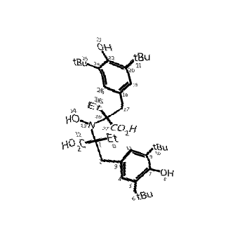 CCC(Cc1cc(C(C)(C)C)c(O)c(C(C)(C)C)c1)(C(=O)O)N(O)C(CC)(Cc1cc(C(C)(C)C)c(O)c(C(C)(C)C)c1)C(=O)O